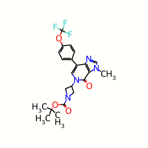 Cn1cnc2c(-c3ccc(OC(F)(F)F)cc3)cn(C3CN(C(=O)OC(C)(C)C)C3)c(=O)c21